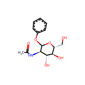 CC(=O)N[C@H]1C(Oc2ccccc2)O[C@H](CO)[C@@H](O)[C@@H]1O